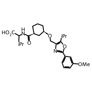 COc1cccc(-c2nc(CO[C@@H]3CCC[C@H](C(=O)NC(C(=O)O)C(C)C)C3)c(C(C)C)o2)c1